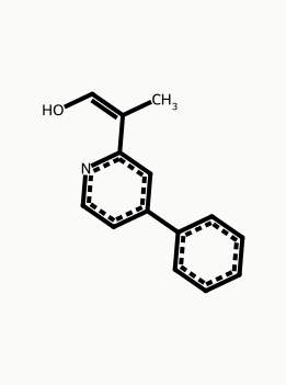 C/C(=C/O)c1cc(-c2ccccc2)ccn1